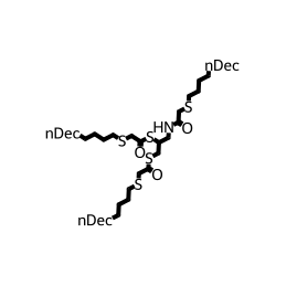 CCCCCCCCCCCCCCSCC(=O)NCC(CSC(=O)CSCCCCCCCCCCCCCC)SC(=O)CSCCCCCCCCCCCCCC